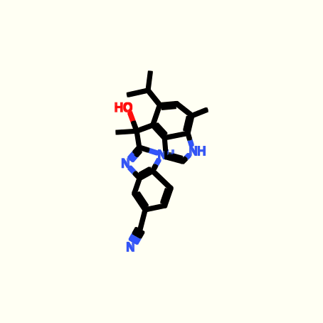 Cc1cc(C(C)C)c(C(C)(O)c2nc3cc(C#N)ccc3[nH]2)c2cc[nH]c12